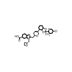 CC1(c2ccc(Cl)cn2)Oc2cccc(C3=CCC(Cc4nc5ccc(C(=O)O)cc5n4C[C@@H]4CCO4)OC3)c2O1